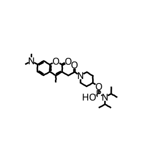 Cc1c(CC(=O)N2CCC(OP(O)N(C(C)C)C(C)C)CC2)c(=O)oc2cc(N(C)C)ccc12